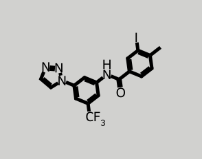 Cc1ccc(C(=O)Nc2cc(-n3ccnn3)cc(C(F)(F)F)c2)cc1I